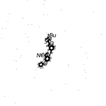 CC(C)(C)c1csc(-c2cc3cc(Cn4cc(C#N)c5cc(OC6CCCC6)ccc54)ccc3o2)n1